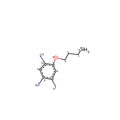 [SiH3]CCCOc1cc(I)c(I)cc1I